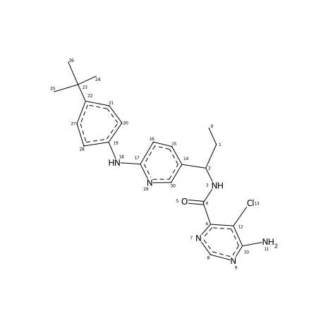 CCC(NC(=O)c1ncnc(N)c1Cl)c1ccc(Nc2ccc(C(C)(C)C)cc2)nc1